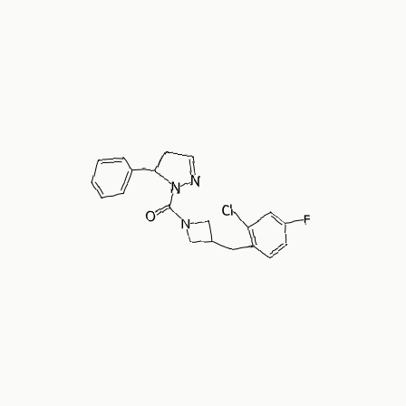 O=C(N1CC(Cc2ccc(F)cc2Cl)C1)N1N=CCC1c1ccccc1